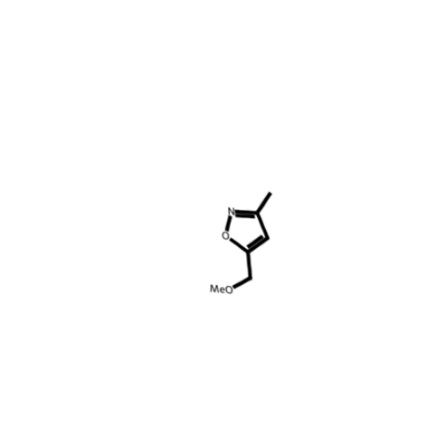 COCc1cc(C)no1